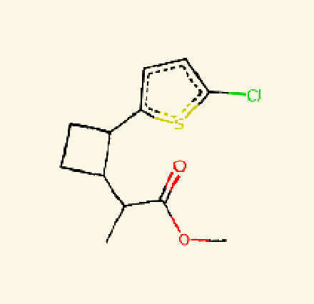 COC(=O)C(C)C1CCC1c1ccc(Cl)s1